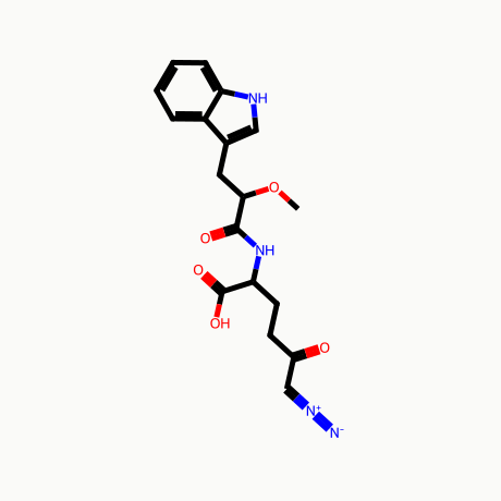 COC(Cc1c[nH]c2ccccc12)C(=O)NC(CCC(=O)C=[N+]=[N-])C(=O)O